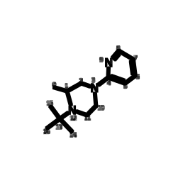 CC1CN(c2ccccn2)CCN1C(C)(C)C